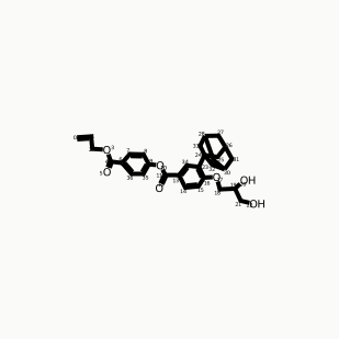 C=CCOC(=O)c1ccc(OC(=O)c2ccc(OCC(O)CO)c(C34CC5CC(CC(C5)C3)C4)c2)cc1